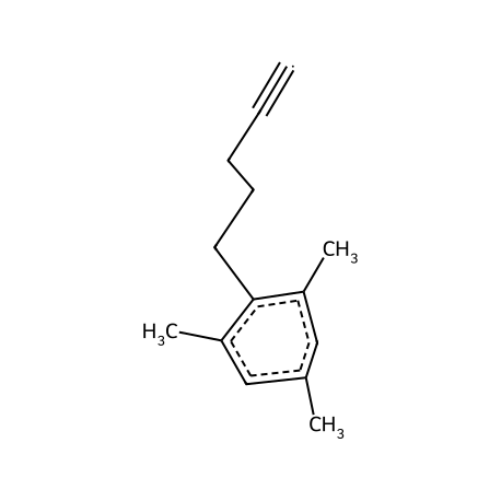 [C]#CCCCc1c(C)cc(C)cc1C